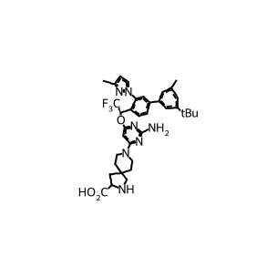 Cc1cc(-c2ccc([C@@H](Oc3cc(N4CCC5(CC4)CNC(C(=O)O)C5)nc(N)n3)C(F)(F)F)c(-n3ccc(C)n3)c2)cc(C(C)(C)C)c1